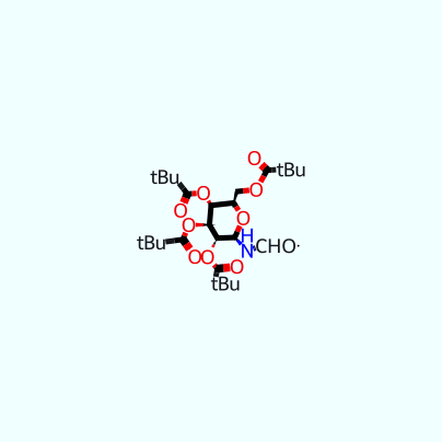 CC(C)(C)C(=O)OC[C@H]1O[C@@H](N[C]=O)[C@H](OC(=O)C(C)(C)C)[C@@H](OC(=O)C(C)(C)C)[C@H]1OC(=O)C(C)(C)C